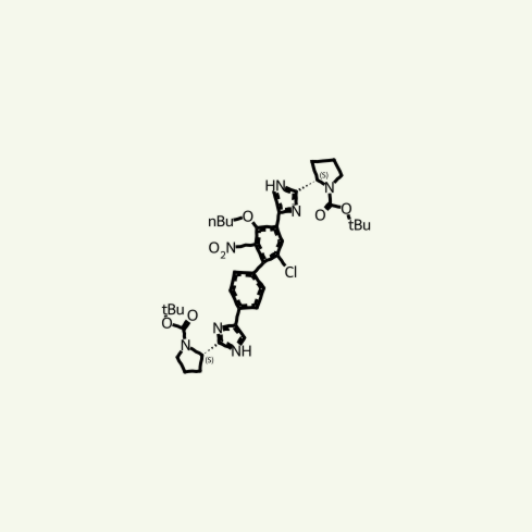 CCCCOc1c(-c2c[nH]c([C@@H]3CCCN3C(=O)OC(C)(C)C)n2)cc(Cl)c(-c2ccc(-c3c[nH]c([C@@H]4CCCN4C(=O)OC(C)(C)C)n3)cc2)c1[N+](=O)[O-]